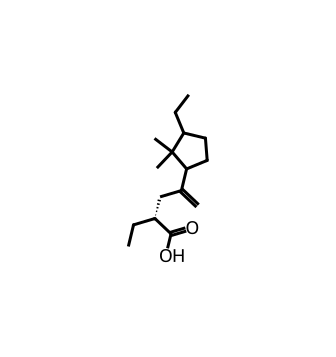 C=C(C[C@@H](CC)C(=O)O)C1CCC(CC)C1(C)C